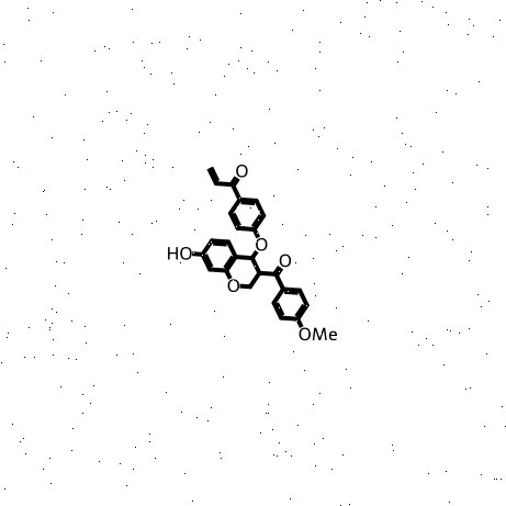 C=CC(=O)c1ccc(OC2c3ccc(O)cc3OCC2C(=O)c2ccc(OC)cc2)cc1